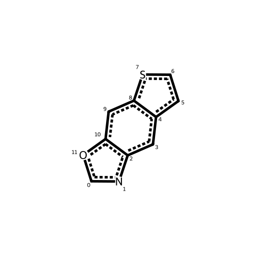 c1nc2cc3ccsc3cc2o1